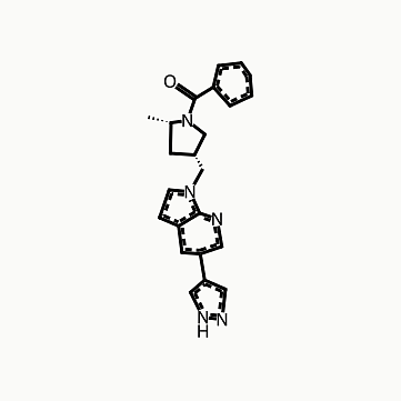 C[C@H]1C[C@@H](Cn2ccc3cc(-c4cn[nH]c4)cnc32)CN1C(=O)c1ccccc1